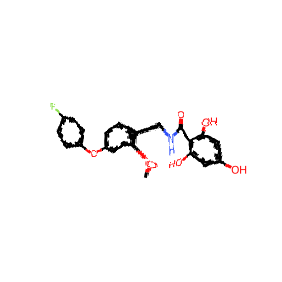 COc1cc(Oc2ccc(F)cc2)ccc1CNC(=O)c1c(O)cc(O)cc1O